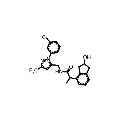 CC(C(=O)NCc1cc(C(F)(F)F)nn1-c1cccc(Cl)c1)c1cccc2c1CC(O)C2